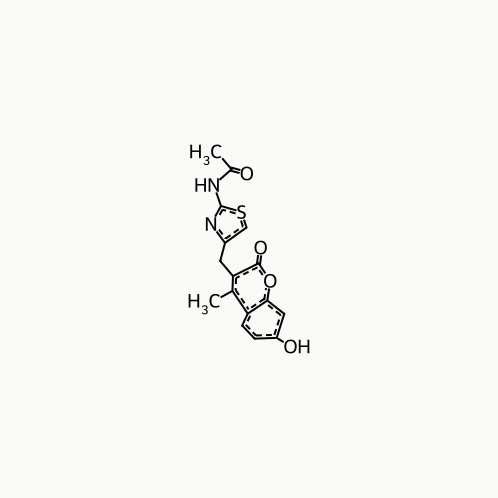 CC(=O)Nc1nc(Cc2c(C)c3ccc(O)cc3oc2=O)cs1